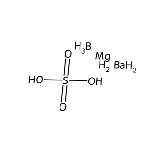 B.O=S(=O)(O)O.[BaH2].[MgH2]